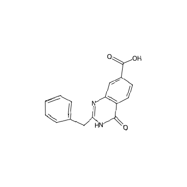 O=C(O)c1ccc2c(=O)[nH]c(Cc3ccccc3)nc2c1